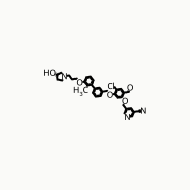 Cc1c(OCCCN2CC[C@@H](O)C2)cccc1-c1cccc(COc2cc(OCc3cncc(C#N)c3)c(C=O)cc2Cl)c1